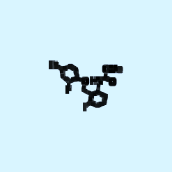 CCc1ccc(OCc2c(I)cccc2NC(=O)OC)c(F)c1